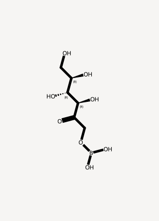 O=C(COB(O)O)[C@H](O)[C@H](O)[C@H](O)CO